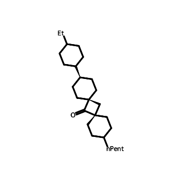 CCCCCC1CC[C@]2(CC1)C[C@@]1(CC[C@H](C3CCC(CC)CC3)CC1)C2=O